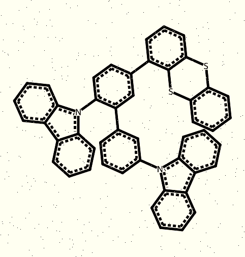 c1cc(-c2cc(-c3cccc4c3Sc3ccccc3S4)ccc2-n2c3ccccc3c3ccccc32)cc(-n2c3ccccc3c3ccccc32)c1